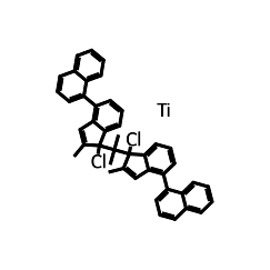 CC1=Cc2c(-c3cccc4ccccc34)cccc2C1(Cl)C(C)(C)C1(Cl)C(C)=Cc2c(-c3cccc4ccccc34)cccc21.[Ti]